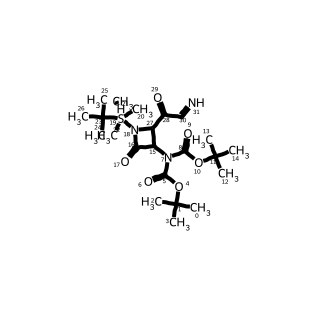 CC(C)(C)OC(=O)N(C(=O)OC(C)(C)C)C1C(=O)N([SH](C)(C)(C)C(C)(C)C)C1C(=O)C=N